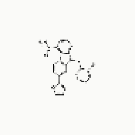 NC(=O)c1cccc2c1c1[c]cc(-c3ccco3)cc1n2Cc1ccccc1Br